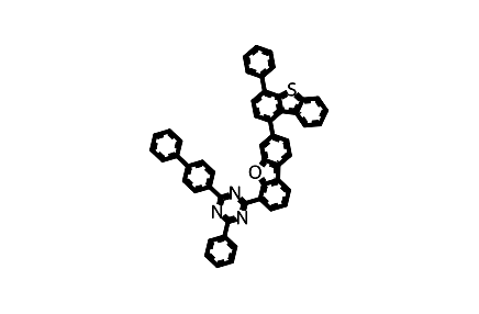 c1ccc(-c2ccc(-c3nc(-c4ccccc4)nc(-c4cccc5c4oc4cc(-c6ccc(-c7ccccc7)c7sc8ccccc8c67)ccc45)n3)cc2)cc1